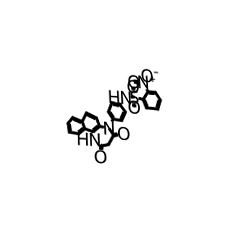 O=C1CC(=O)N(c2ccc(NS(=O)(=O)c3ccccc3[N+](=O)[O-])cc2)c2ccc3ccccc3c2N1